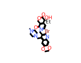 CC[C@@]1(O)C(=O)OCc2c1ccn(Cc1c(Br)nc3cc4c(cc3c1CN1CCN(C)CC1)OCCO4)c2=O